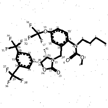 CCCCN(C(=O)OC)c1ccc(OC(F)(F)F)cc1CN1C(=O)O[C@H](c2cc(C(F)(F)F)cc(C(F)(F)F)c2)[C@@H]1C